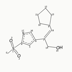 CS(=O)(=O)c1cc(/C(=C\C2CCCC2)CO)cs1